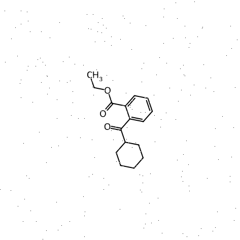 CCOC(=O)c1ccccc1C(=O)C1CCCCC1